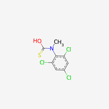 CN(C(O)=S)c1c(Cl)cc(Cl)cc1Cl